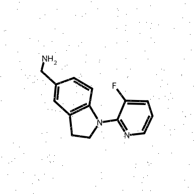 NCc1ccc2c(c1)CCN2c1ncccc1F